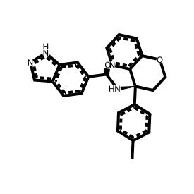 Cc1ccc([C@@]2(NC(=O)c3ccc4cn[nH]c4c3)CCOc3cccnc32)cc1